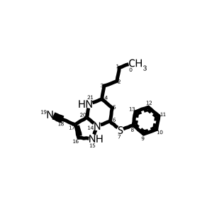 CCCCC1CC(Sc2ccccc2)N2NC=C(C#N)C2N1